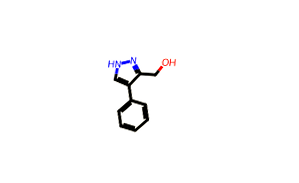 OCc1n[nH]cc1-c1ccccc1